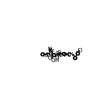 CN(C)CC[C@H](CSc1ccccc1)Nc1c(C(=O)O)cc(S(=O)(=O)NC(=O)c2ccc(N3CCN(Cc4ccccc4-c4ccc(Cl)cc4)CC3)cc2)cc1C(F)(F)F